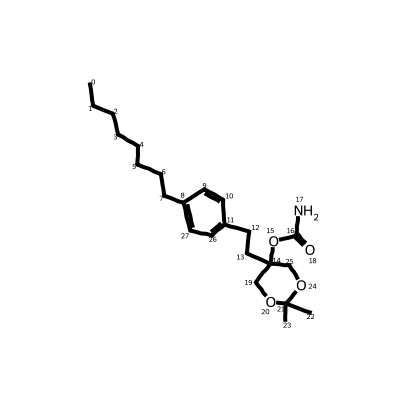 CCCCCCCCc1ccc(CCC2(OC(N)=O)COC(C)(C)OC2)cc1